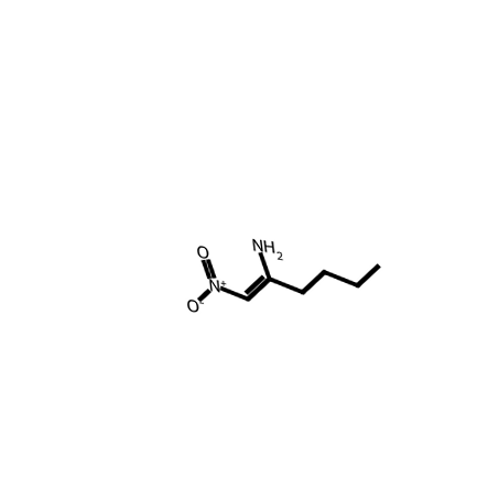 CCCC/C(N)=C/[N+](=O)[O-]